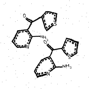 Nc1ncccc1C(=O)c1cccs1.Nc1ncccc1C(=O)c1ccsc1